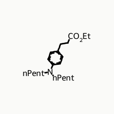 CCCCCN(CCCCC)c1ccc(CCC(=O)OCC)cc1